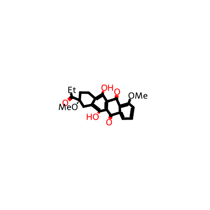 CCC(=O)[C@@]1(OC)CCc2c(O)c3c(c(O)c2C1)C(=O)c1cccc(OC)c1C3=O